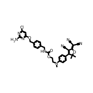 CN(CCOC(=O)NCc1ccc(COc2cc(Cl)nc(N)n2)cc1)c1ccc(C2=C(C#N)C(=C(C#N)C#N)OC2(C)C)cc1